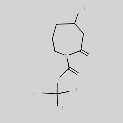 CC1CCCN(C(=O)OC(C)(C)C)C(=O)C1